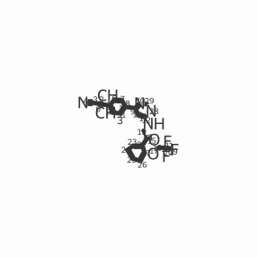 CC(C)(C#N)c1ccc(-c2cc(NC[C@@H](OC(=O)C(F)(F)F)c3ccccc3)ncn2)cc1